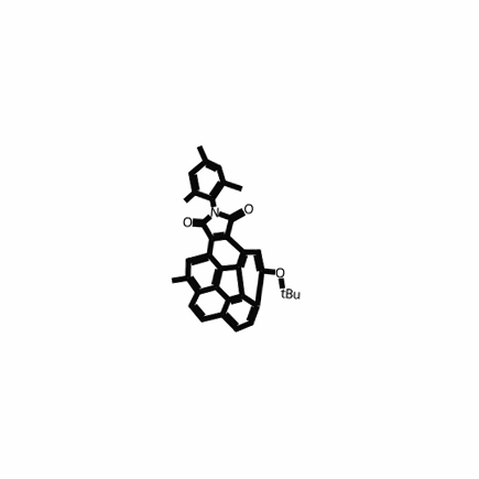 Cc1cc(C)c(-n2c(=O)c3c4cc(C)c5ccc6ccc7c(OC(C)(C)C)cc(c3c2=O)c2c7c6c5c42)c(C)c1